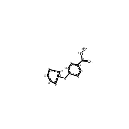 O=C(OBr)c1ccc(Cc2ccccc2)cc1